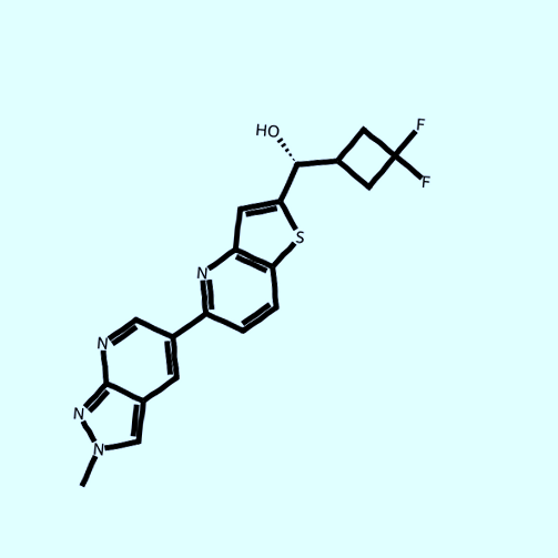 Cn1cc2cc(-c3ccc4sc([C@H](O)C5CC(F)(F)C5)cc4n3)cnc2n1